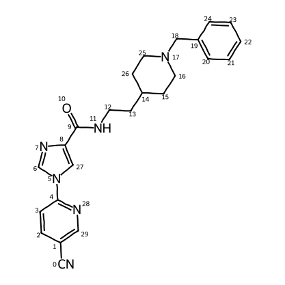 N#Cc1ccc(-n2cnc(C(=O)NCCC3CCN(Cc4ccccc4)CC3)c2)nc1